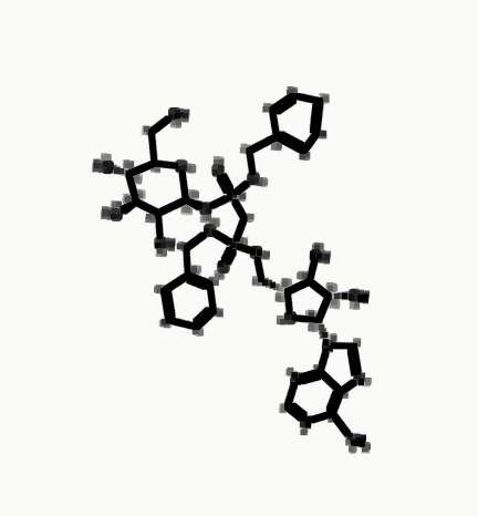 Nc1ncnc2c1ncn2[C@@H]1O[C@H](COP(=O)(CP(=O)(OCc2ccccc2)O[C@@H]2OC(CO)[C@@H](O)[C@H](O)C2O)OCc2ccccc2)C(O)[C@@H]1O